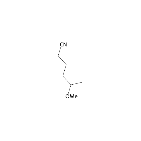 COC(C)CCCC#N